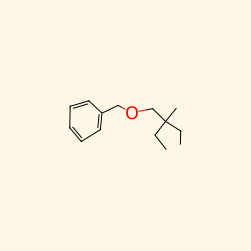 CCC(C)(CC)COCc1ccccc1